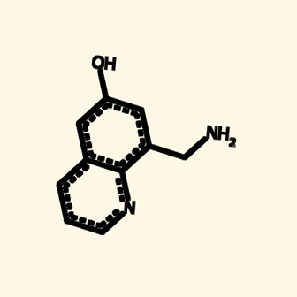 NCc1cc(O)cc2cccnc12